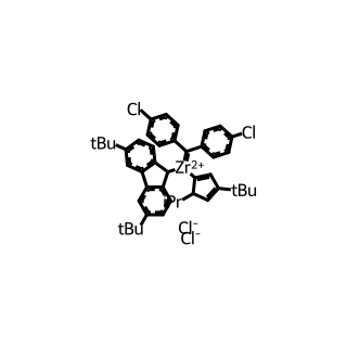 CC(C)C1C=C(C(C)(C)C)C=[C]1[Zr+2](=[C](c1ccc(Cl)cc1)c1ccc(Cl)cc1)[CH]1c2ccc(C(C)(C)C)cc2-c2cc(C(C)(C)C)ccc21.[Cl-].[Cl-]